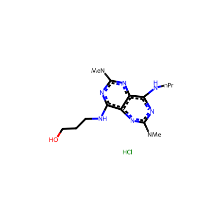 CCCNc1nc(NC)nc2c(NCCCO)nc(NC)nc12.Cl